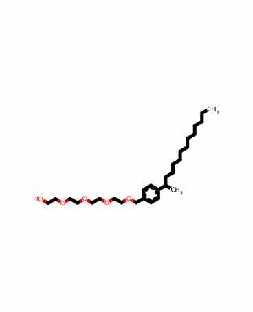 CCCCCCCCCCCCC(C)c1ccc(COCCOCCOCCOCCO)cc1